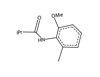 COc1cccc(C)c1NC(=O)C(C)C